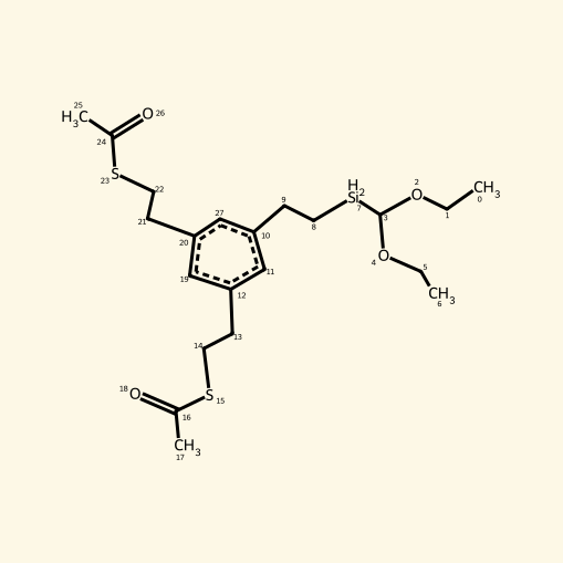 CCOC(OCC)[SiH2]CCc1cc(CCSC(C)=O)cc(CCSC(C)=O)c1